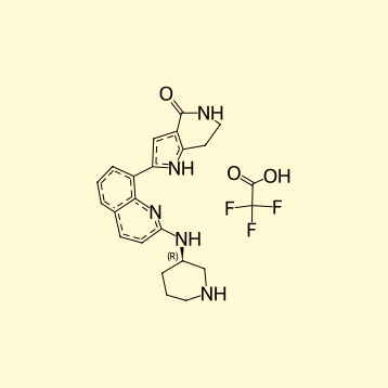 O=C(O)C(F)(F)F.O=C1NCCc2[nH]c(-c3cccc4ccc(N[C@@H]5CCCNC5)nc34)cc21